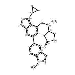 C[C@@H](Oc1cc(-c2ccc3c(cnn3C)c2)cc2ncn(C3CC3)c12)C1CNC(=O)C1